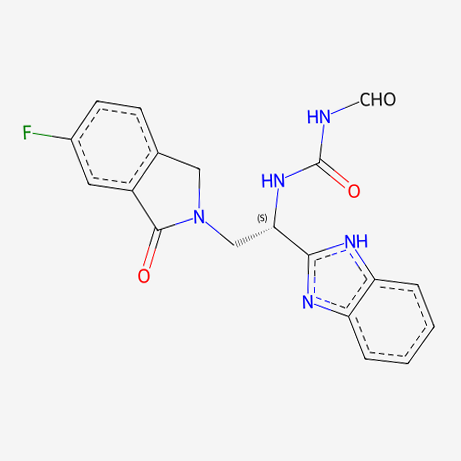 O=CNC(=O)N[C@@H](CN1Cc2ccc(F)cc2C1=O)c1nc2ccccc2[nH]1